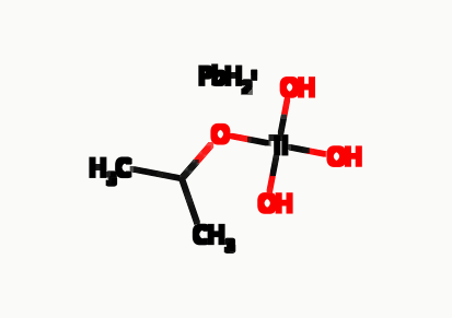 CC(C)[O][Ti]([OH])([OH])[OH].[PbH2]